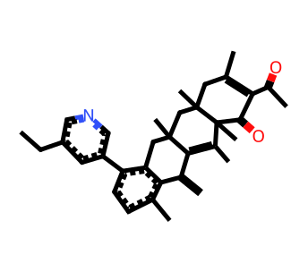 C=C1C2=C(C)C3(C)C(=O)C(C(C)=O)=C(C)CC3(C)CC2(C)Cc2c(-c3cncc(CC)c3)ccc(C)c21